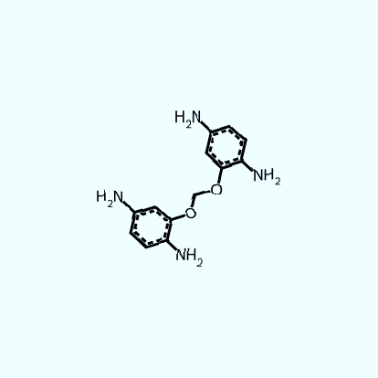 Nc1ccc(N)c(OCOc2cc(N)ccc2N)c1